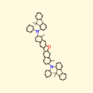 Cc1c(N(c2ccccc2)c2cccc3c2C(C)(C)c2ccccc2-3)ccc2cc3c(cc12)oc1cc2c(C)c(N(c4ccccc4)c4cccc5c4C(C)(C)c4ccccc4-5)ccc2cc13